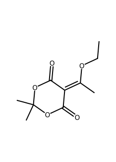 CCOC(C)=C1C(=O)OC(C)(C)OC1=O